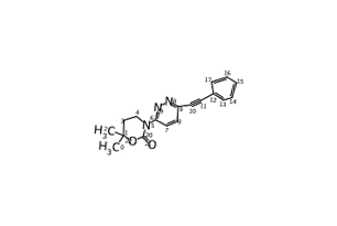 CC1(C)CCN(c2ccc(C#Cc3ccccc3)nn2)C(=O)O1